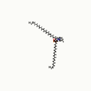 CCCCCC=CCC=CCC=CCC=CCCCCC(CCCCC=CCC=CCC=CCC=CCCCCC)(C[N+](C)(C)C)O[PH-]